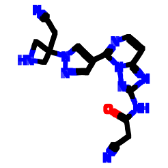 N#CCC(=O)Nc1nc2ccnc(-c3cnn(C4(CC#N)CNC4)c3)n2n1